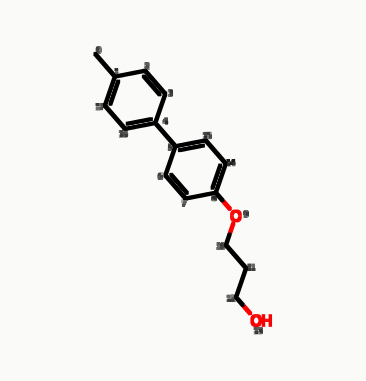 Cc1ccc(-c2ccc(OCCCO)cc2)cc1